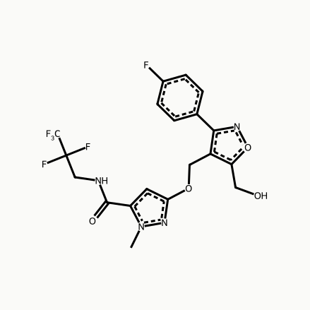 Cn1nc(OCc2c(-c3ccc(F)cc3)noc2CO)cc1C(=O)NCC(F)(F)C(F)(F)F